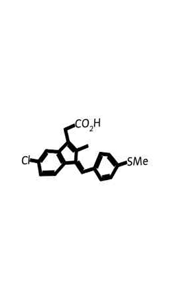 CSc1ccc(C=C2C(C)=C(CC(=O)O)c3cc(Cl)ccc32)cc1